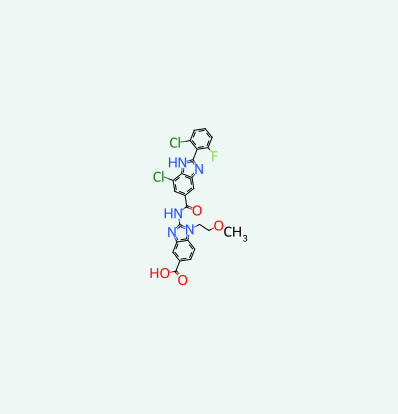 COCCn1c(NC(=O)c2cc(Cl)c3[nH]c(-c4c(F)cccc4Cl)nc3c2)nc2cc(C(=O)O)ccc21